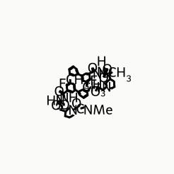 CNCCC(=O)N1CCCC(CS(=O)(=O)NNC(=O)c2cc(-c3cccc(COCCN4CCCC(C(C)S(=O)(=O)NNC(=O)c5cc(-c6ccccc6)cc(C)c5F)C4)c3)cc(C)c2F)C1